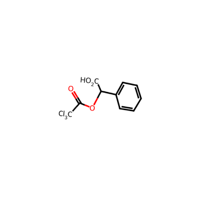 O=C(O)C(OC(=O)C(Cl)(Cl)Cl)c1ccccc1